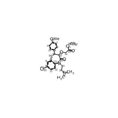 COc1ccc(C2Sc3cc(Cl)ccc3N(CCN(C)C)C(=O)C2OCC(=O)OC(C)(C)C)cc1